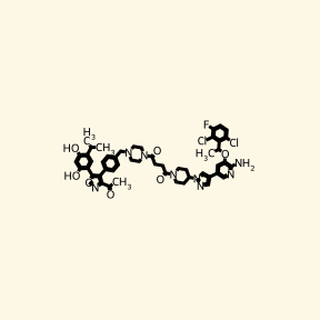 CC(=O)c1noc(-c2cc(C(C)C)c(O)cc2O)c1-c1ccc(CN2CCN(C(=O)CCC(=O)N3CCC(n4cc(-c5cnc(N)c(OC(C)c6c(Cl)ccc(F)c6Cl)c5)cn4)CC3)CC2)cc1